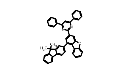 CC1(C)c2ccccc2-c2ccc(-c3cc(-c4nc(-c5ccccc5)cc(-c5ccccc5)n4)cc4oc5ccccc5c34)cc21